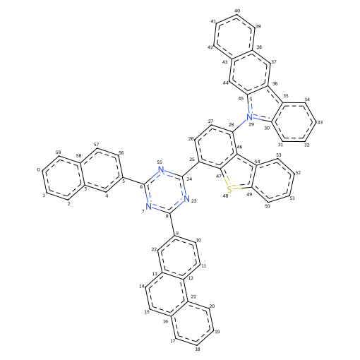 c1ccc2cc(-c3nc(-c4ccc5c(ccc6ccccc65)c4)nc(-c4ccc(-n5c6ccccc6c6cc7ccccc7cc65)c5c4sc4ccccc45)n3)ccc2c1